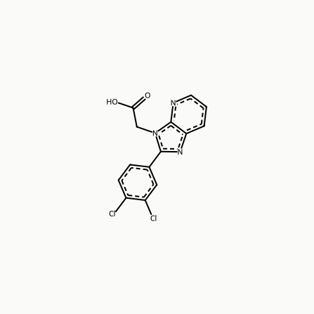 O=C(O)Cn1c(-c2ccc(Cl)c(Cl)c2)nc2cccnc21